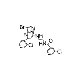 O=C(NCCNc1cc(-c2ccccc2Cl)nc2c(Br)cnn12)c1cccc(Cl)c1